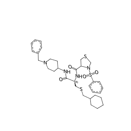 O=C(N[C@@H](CSCC1CCCCC1)C(=O)NC1CCN(Cc2ccccc2)CC1)C1CSCN1S(=O)(=O)c1ccccc1